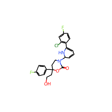 O=C1OC(CCO)(c2ccc(F)cc2)CCN1C1C=CC=C(c2ccc(F)cc2Cl)N1